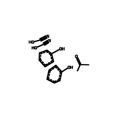 CC(C)=O.N#CO.N#CO.Oc1ccccc1.Oc1ccccc1